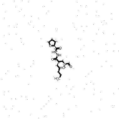 CCCCC[C@H](CN(O)C=O)C(=O)NNC(=O)[C@@H]1CCCO1